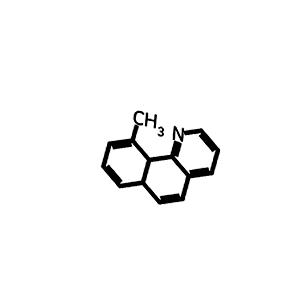 CC1=CC=CC2C=Cc3cccnc3C12